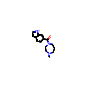 CN1CCCN(C(=O)c2ccc3[c]c[nH]c3c2)CC1